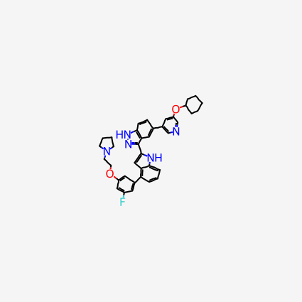 Fc1cc(OCCN2CCCC2)cc(-c2cccc3[nH]c(-c4n[nH]c5ccc(-c6cncc(OC7CCCCC7)c6)cc45)cc23)c1